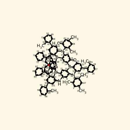 Cc1cc(C)c(N2c3cc4c(cc3B3c5cc6c(cc5Oc5cc(-c7ccccc7C)cc2c53)N(c2c(C)cc(C)cc2C)c2cc(-c3ccccc3C)cc3c2B6c2sc5ccccc5c2N3c2ccccc2)B2c3sc5ccccc5c3N(c3ccccc3)c3cc(-c5ccccc5C)cc(c32)N4)c(C)c1